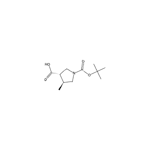 C[C@@H]1CN(C(=O)OC(C)(C)C)C[C@H]1C(=O)O